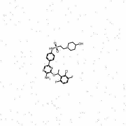 CC(Oc1nc(-c2ccc(NS(=O)(=O)CCN3CCC(O)CC3)cc2)cnc1N)c1c(F)ccc(F)c1Cl